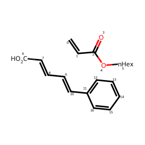 C=CC(=O)OCCCCCC.O=C(O)C=CC=Cc1ccccc1